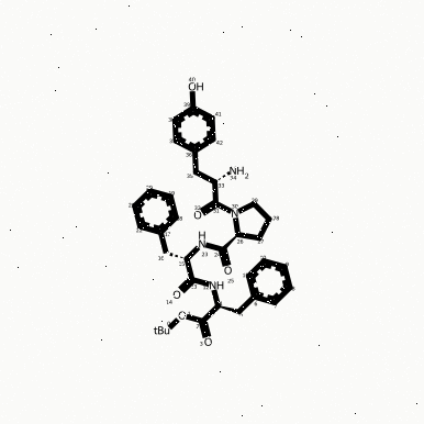 CC(C)(C)OC(=O)[C@H](Cc1ccccc1)NC(=O)[C@H](Cc1ccccc1)NC(=O)[C@@H]1CCCN1C(=O)[C@@H](N)Cc1ccc(O)cc1